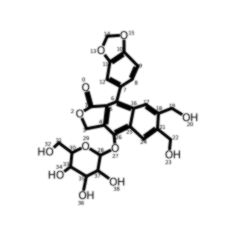 O=C1OCc2c1c(-c1ccc3c(c1)OCO3)c1cc(CO)c(CO)cc1c2OC1OC(CO)C(O)C(O)C1O